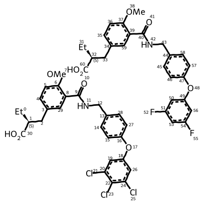 CC[C@@H](Cc1ccc(OC)c(C(=O)NCc2ccc(Oc3cc(Cl)c(Cl)c(Cl)c3)cc2)c1)C(=O)O.CC[C@@H](Cc1ccc(OC)c(C(=O)NCc2ccc(Oc3cc(F)cc(F)c3)cc2)c1)C(=O)O